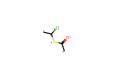 CC(=O)SC(C)Cl